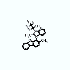 [2H]C([2H])([2H])C([2H])(C)N1c2ncccc2N(c2c(C)ccc3c2oc2ccccc23)[C@@H]1C